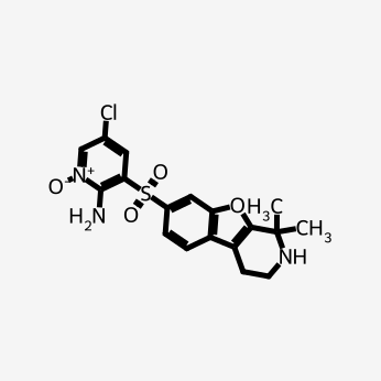 CC1(C)NCCc2c1oc1cc(S(=O)(=O)c3cc(Cl)c[n+]([O-])c3N)ccc21